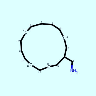 NCC1CCCCCCCCCCCCCC1